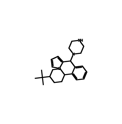 CC(C)(C)C1CCC(c2ccccc2C(c2ccco2)N2CCNCC2)CC1